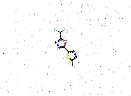 CCc1cnc(-c2nnc(C(F)F)o2)s1